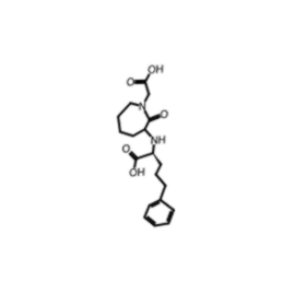 O=C(O)CN1CCCCC(N[C@@H](CCCc2ccccc2)C(=O)O)C1=O